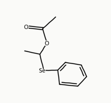 CC(=O)OC(C)[Se]c1ccccc1